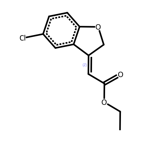 CCOC(=O)/C=C1\COc2ccc(Cl)cc21